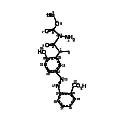 CC(C(=O)N(N)C(=O)OC(C)(C)C)c1cc(/N=N/c2ccccc2C(=O)O)ccc1O